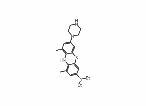 CCN(CC)c1cc(C)c2c(c1)Sc1cc(N3CCNCC3)cc(C)c1N2